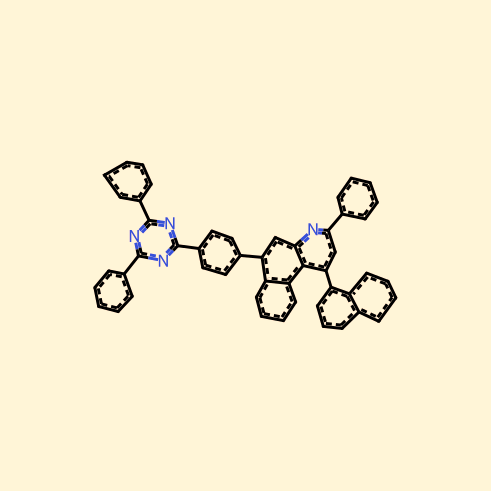 c1ccc(-c2cc(-c3cccc4ccccc34)c3c(cc(-c4ccc(-c5nc(-c6ccccc6)nc(-c6ccccc6)n5)cc4)c4ccccc43)n2)cc1